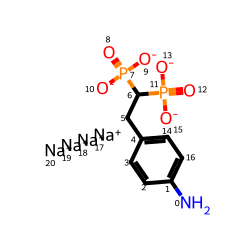 Nc1ccc(CC(P(=O)([O-])[O-])P(=O)([O-])[O-])cc1.[Na+].[Na+].[Na+].[Na+]